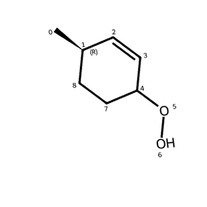 C[C@H]1C=CC(OO)CC1